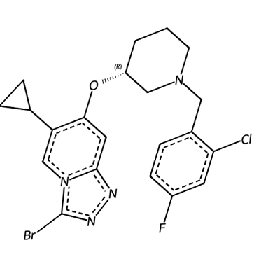 Fc1ccc(CN2CCC[C@@H](Oc3cc4nnc(Br)n4cc3C3CC3)C2)c(Cl)c1